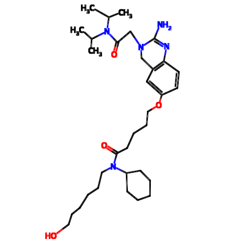 CC(C)N(C(=O)CN1Cc2cc(OCCCCC(=O)N(CCCCCCO)C3CCCCC3)ccc2N=C1N)C(C)C